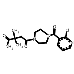 CC(C)([CH]C(=O)N1CCN(C(=O)c2cccnc2Cl)CC1)C(N)=O